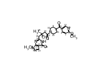 COc1ccc(C(=O)C2CCN(C(=O)CC(C)(C)Cc3nc4c(cnn4C)c(=O)[nH]3)CC2)cn1